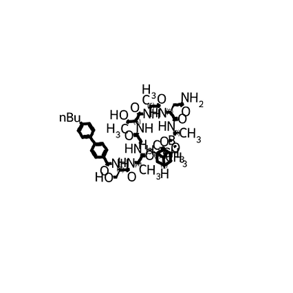 CCCCc1ccc(-c2ccc(C(=O)N[C@H](CO)C(=O)N[C@H](C)C(=O)NCC(=O)N[C@H](C(=O)N[C@@H](C)C(=O)N[C@@H](CC(N)=O)C(=O)N[C@@H](C)B3OC4C[C@@H]5C[C@@H](C5(C)C)[C@]4(C)O3)C(C)O)cc2)cc1